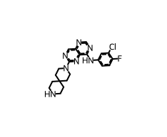 Fc1ccc(Nc2ncnc3cnc(N4CCC5(CCNCC5)CC4)nc23)cc1Cl